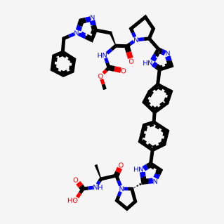 COC(=O)N[C@@H](Cc1cn(Cc2ccccc2)cn1)C(=O)N1CCCC1c1ncc(-c2ccc(-c3ccc(-c4cnc([C@@H]5CCCN5C(=O)[C@H](C)NC(=O)O)[nH]4)cc3)cc2)[nH]1